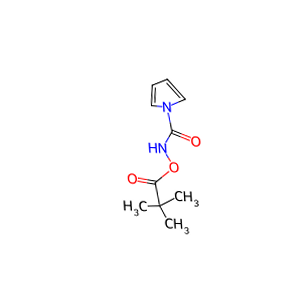 CC(C)(C)C(=O)ONC(=O)n1cccc1